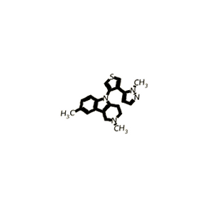 Cc1ccc2c(c1)c1c(n2-c2cscc2-c2ccnn2C)CCN(C)C1